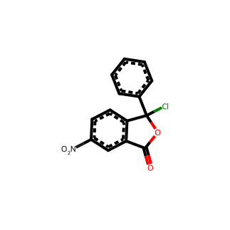 O=C1OC(Cl)(c2ccccc2)c2ccc([N+](=O)[O-])cc21